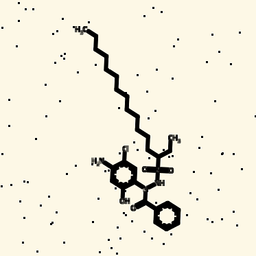 CCCCCCCCCCCCCC(CC)S(=O)(=O)NN(C(=O)c1ccccc1)c1cc(Cl)c(N)cc1O